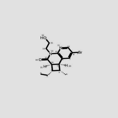 CC[C@H]1[C@@H](C)[C@@H]2c3cc(Br)cnc3N(CCO)C(=O)[C@H]12